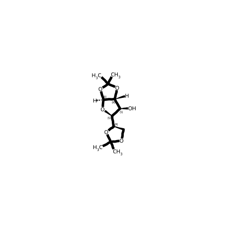 CC1(C)O[C@@H]2O[C@H]([C@H]3COC(C)(C)O3)[C@H](O)[C@H]2O1